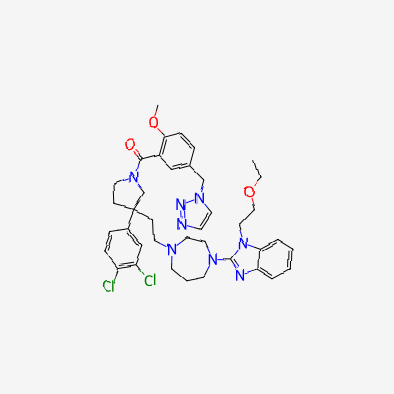 CCOCCn1c(N2CCCN(CCC3(c4ccc(Cl)c(Cl)c4)CCN(C(=O)c4cc(Cn5ccnn5)ccc4OC)C3)CC2)nc2ccccc21